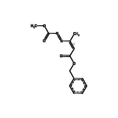 COC(=O)N=N/C(C)=C\C(=O)OCc1ccccc1